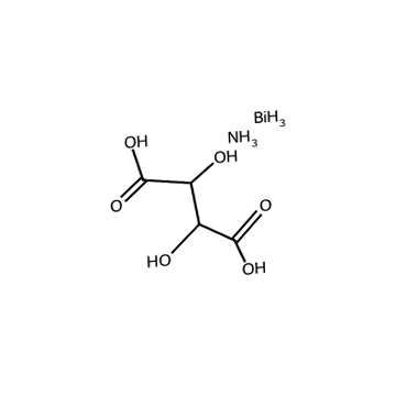 N.O=C(O)C(O)C(O)C(=O)O.[BiH3]